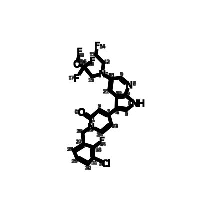 O=c1cc(-c2c[nH]c3ncc(N(CCF)CC(F)(F)OF)cc23)ccn1Cc1cccc(Cl)c1F